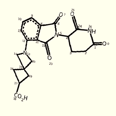 O=C1CCC(N2C(=O)c3cccc(N4CC5(CC(C(=O)O)C5)C4)c3C2=O)C(=O)N1